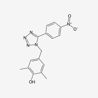 Cc1cc(Cn2nnnc2-c2ccc([N+](=O)[O-])cc2)cc(C)c1O